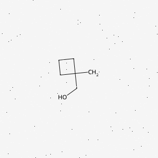 [CH2]C1(CO)CCC1